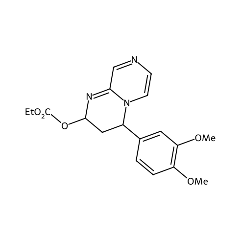 CCOC(=O)OC1CC(c2ccc(OC)c(OC)c2)N2C=CN=CC2=N1